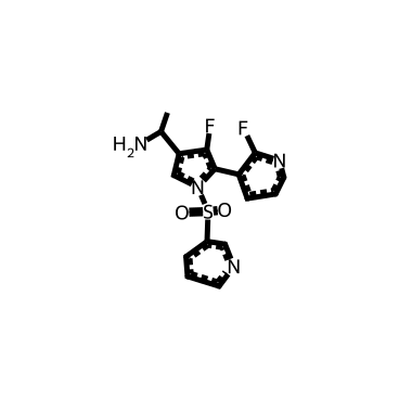 CC(N)c1cn(S(=O)(=O)c2cccnc2)c(-c2cccnc2F)c1F